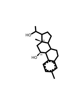 Cc1ccc2c(c1)CCC1C2[C@@H](O)C[C@]2(C)C(C(C)O)CCC12